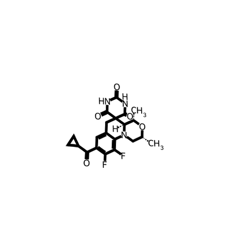 C[C@@H]1CN2c3c(cc(C(=O)C4CC4)c(F)c3F)CC3(C(=O)NC(=O)NC3=O)[C@H]2[C@H](C)O1